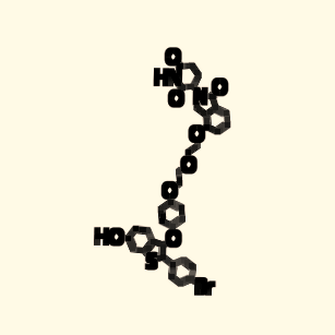 O=C1CCC(N2Cc3c(OCCOCCOc4ccc(Oc5c(-c6ccc(Br)cc6)sc6cc(O)ccc56)cc4)cccc3C2=O)C(=O)N1